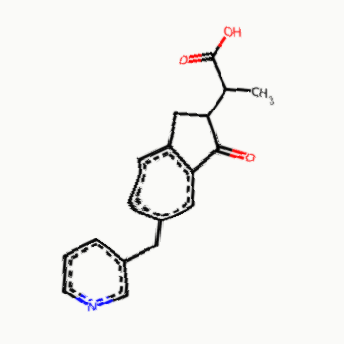 CC(C(=O)O)C1Cc2ccc(Cc3cccnc3)cc2C1=O